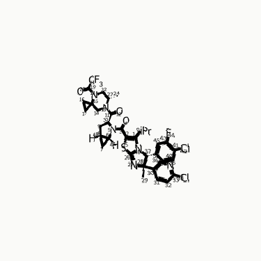 CC(C)C1=C(C(=O)N2[C@@H]3C[C@@H]3C[C@H]2C(=O)N2CC3(CC3)N(C(=O)C(F)(F)F)C[C@@H]2C)SC2=N[C@@](C)(c3ccc(Cl)nc3)[C@@H](c3ccc(Cl)c(F)c3)N21